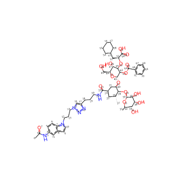 CC(=O)Nc1ccc2c(ccn2CCCn2cc(CCCNC(=O)C3C[C@@H](C)C(O[C@@H]4OC(C)[C@@H](O)C(O)[C@@H]4O)[C@H](O[C@@H]4O[C@@H](CO)[C@H](O)C(O[C@@H](CC5CCCCC5)C(=O)O)C4OC(=O)c4ccccc4)C3)nn2)c1